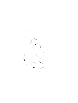 CC[C@H]1CN(C(C)c2ccc(OC3COC3)cc2F)[C@H](CC)CN1c1cc(=O)n(C)c2cn(CC#N)nc12